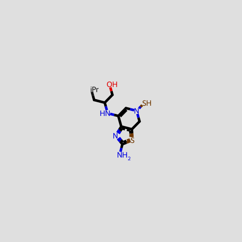 CC(C)CC(CO)NC1=CN(S)Cc2sc(N)nc21